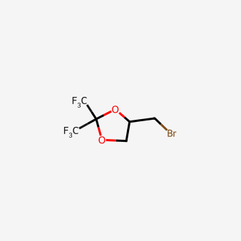 FC(F)(F)C1(C(F)(F)F)OCC(CBr)O1